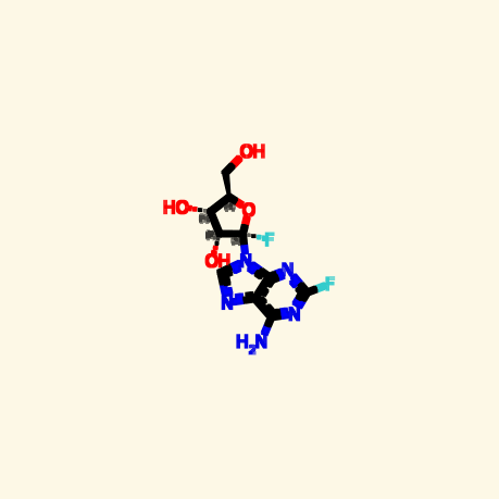 Nc1nc(F)nc2c1ncn2[C@]1(F)O[C@H](CO)[C@@H](O)[C@H]1O